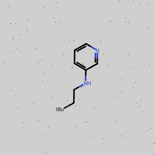 CC(C)(C)CCNc1cccnc1